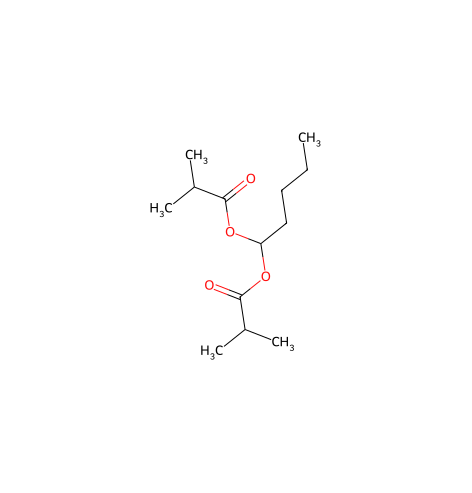 CCCCC(OC(=O)C(C)C)OC(=O)C(C)C